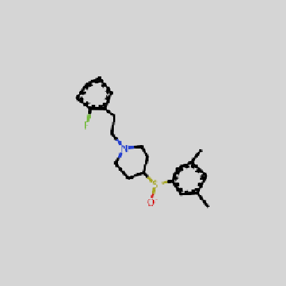 Cc1cc(C)cc([S+]([O-])C2CCN(CCc3ccccc3F)CC2)c1